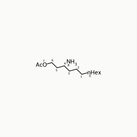 CCCCCCCCCCCCOC(C)=O.N